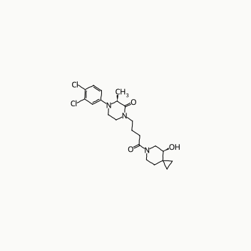 C[C@H]1C(=O)N(CCCC(=O)N2CCC3(CC3)[C@H](O)C2)CCN1c1ccc(Cl)c(Cl)c1